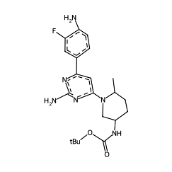 CC1CCC(NC(=O)OC(C)(C)C)CN1c1cc(-c2ccc(N)c(F)c2)nc(N)n1